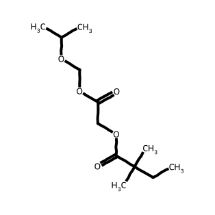 CCC(C)(C)C(=O)OCC(=O)OCOC(C)C